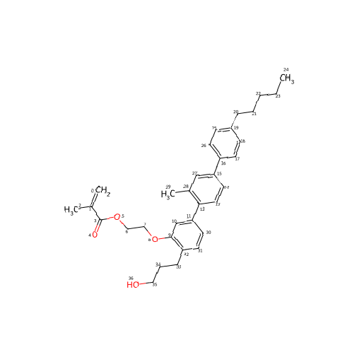 C=C(C)C(=O)OCCOc1cc(-c2ccc(-c3ccc(CCCCC)cc3)cc2C)ccc1CCCO